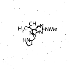 C=C(C)c1nn(CC2CCCN2)c2nc(NC)ncc12